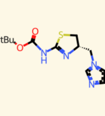 CC(C)(C)OC(=O)NC1=N[C@@H](Cn2ccnc2)CS1